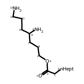 CCCCCCCCC(=O)OCCCC(N)CCCN